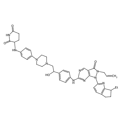 C=CCn1c(=O)c2cnc(Nc3ccc(C(O)CN4CCN(c5ccc(NC6CCC(=O)NC6=O)cc5)CC4)cc3)nc2n1-c1ccc2c(n1)C(CC)CC2